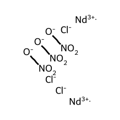 O=[N+]([O-])[O-].O=[N+]([O-])[O-].O=[N+]([O-])[O-].[Cl-].[Cl-].[Cl-].[Nd+3].[Nd+3]